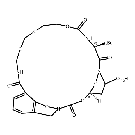 CC(C)(C)[C@@H]1NC(=O)OCCCCCCNC(=O)c2cccc3c2CN(C3)C(=O)O[C@@H]2CC(C(=O)O)N(C2)C1=O